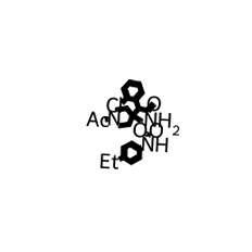 CCc1ccc(NC(=O)OCC2(C(C(N)=O)c3ccccc3Cl)CCN(C(C)=O)CC2)cc1